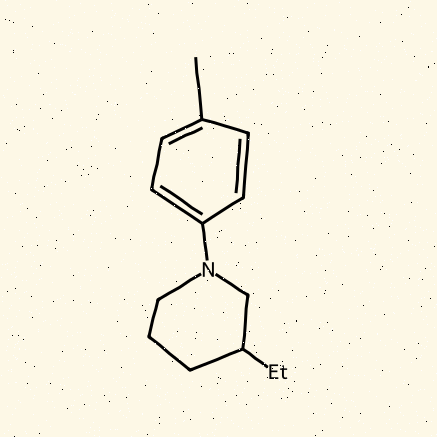 CCC1CCCN(c2ccc(C)cc2)C1